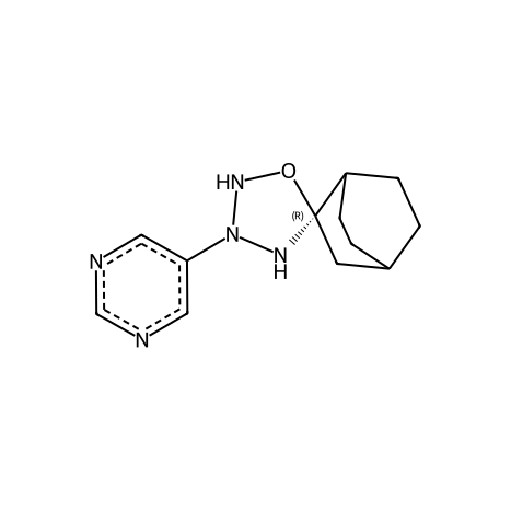 c1ncc(N2NO[C@@]3(CC4CCC3CC4)N2)cn1